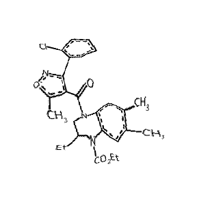 CCOC(=O)N1c2cc(C)c(C)cc2N(C(=O)c2c(-c3ccccc3Cl)noc2C)CC1CC